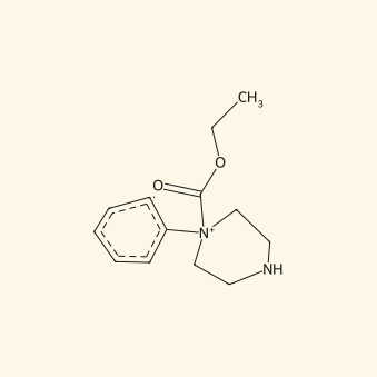 CCOC(=O)[N+]1(c2[c]cccc2)CCNCC1